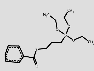 CCO[Si](CCCSC(=O)c1ccccc1)(OCC)OCC